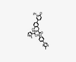 Cc1ncn(-c2ccc(NC(=O)C(Cc3cc(-c4ccc(=O)n(C(C)C)c4)ccc3Cl)NC(=O)c3ccnn3C)cc2)n1